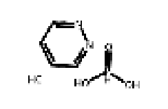 Cl.O=[PH](O)O.c1ccnnc1